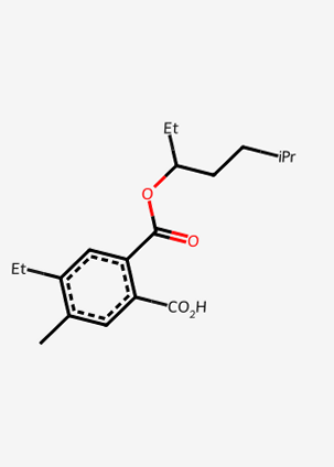 CCc1cc(C(=O)OC(CC)CCC(C)C)c(C(=O)O)cc1C